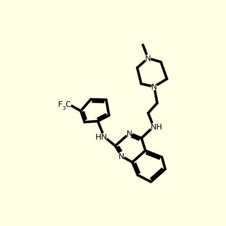 CN1CCN(CCNc2nc(Nc3cccc(C(F)(F)F)c3)nc3ccccc23)CC1